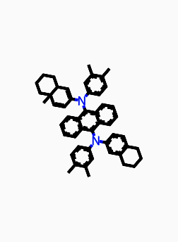 Cc1ccc(N(C2=CC3CCCCC3(C)C=C2)c2c3ccccc3c(N(c3ccc(C)c(C)c3)c3ccc4c(c3)CCCC4)c3ccccc23)cc1C